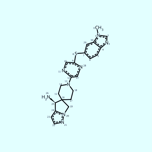 Cn1cnc2ccc(Sc3cnc(N4CCC5(CC4)Cn4nccc4[C@H]5N)cn3)cc21